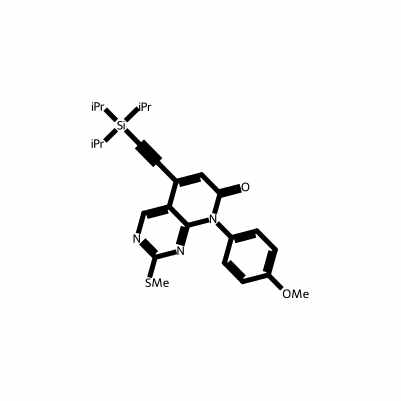 COc1ccc(-n2c(=O)cc(C#C[Si](C(C)C)(C(C)C)C(C)C)c3cnc(SC)nc32)cc1